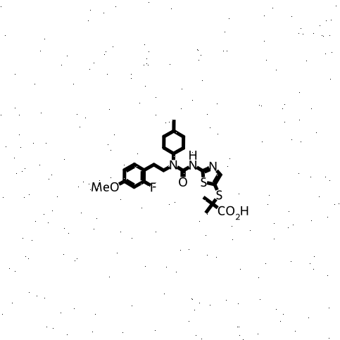 COc1ccc(CCN(C(=O)Nc2ncc(SC(C)(C)C(=O)O)s2)C2CCC(C)CC2)c(F)c1